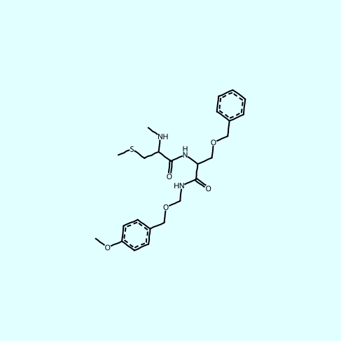 CNC(CSC)C(=O)NC(COCc1ccccc1)C(=O)NCOCc1ccc(OC)cc1